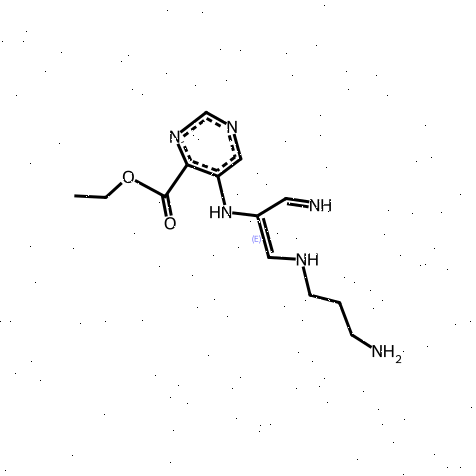 CCOC(=O)c1ncncc1N/C(C=N)=C/NCCCN